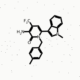 Cc1ccc(Cn2c(-c3cn(C)c4ccccc34)cc(C(F)(F)F)c(N)c2=O)cc1